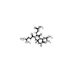 CC(C)CCC(=O)N1C[C@H]2CNC(=O)[C@H](CC(C)C)N2C(=O)[C@@H]1CCC(N)=O